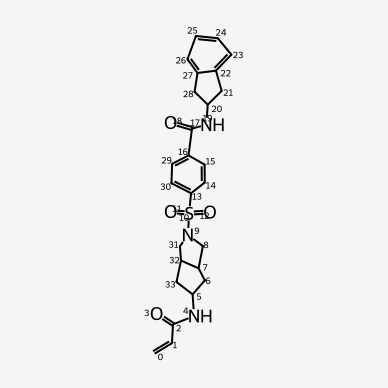 C=CC(=O)NC1CC2CN(S(=O)(=O)c3ccc(C(=O)NC4Cc5ccccc5C4)cc3)CC2C1